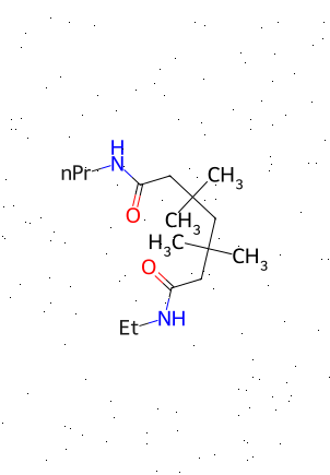 CCCNC(=O)CC(C)(C)CC(C)(C)CC(=O)NCC